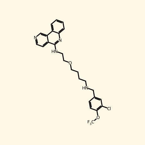 FC(F)(F)Oc1ccc(CNCCCCOCCNc2nc3ccccc3c3cnccc23)cc1Cl